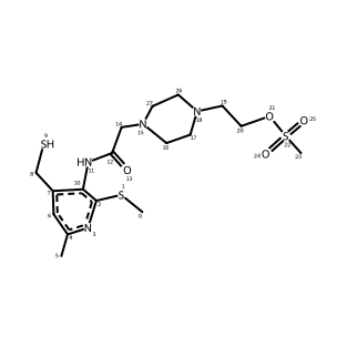 CSc1nc(C)cc(CS)c1NC(=O)CN1CCN(CCOS(C)(=O)=O)CC1